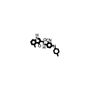 Cc1cccc2[nH]cc(C(=O)Nc3ccc(N=C4CCC(C)CC4)cc3C#N)c(=O)c12